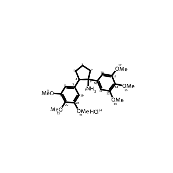 COc1cc(C2CCCC2(N)c2cc(OC)c(OC)c(OC)c2)cc(OC)c1OC.Cl